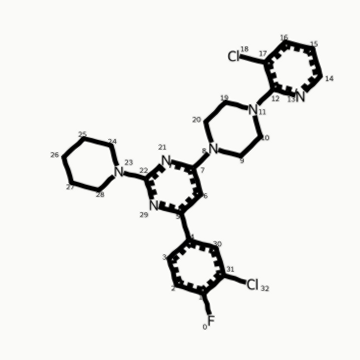 Fc1ccc(-c2cc(N3CCN(c4ncccc4Cl)CC3)nc(N3CCCCC3)n2)cc1Cl